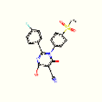 CS(=O)(=O)c1ccc(-n2c(-c3ccc(F)cc3)nc(O)c(C#N)c2=O)cc1